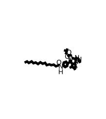 CCCCCCCCCCCCCCCC(=O)Nc1ccc(C2=N[C@@H](CC(=O)OC(C)(C)C)c3nnc(C)n3-c3sc(C)c(C)c32)cc1